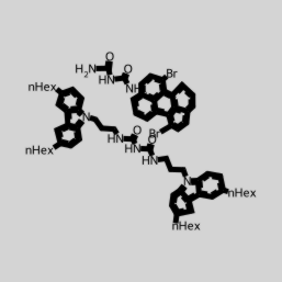 Brc1ccc2cccc3c4c(Br)ccc5cccc(c1c23)c54.CCCCCCc1ccc2c(c1)c1cc(CCCCCC)ccc1n2CCCNC(=O)NC(=O)NCCCn1c2ccc(CCCCCC)cc2c2cc(CCCCCC)ccc21.NC(=O)NC(N)=O